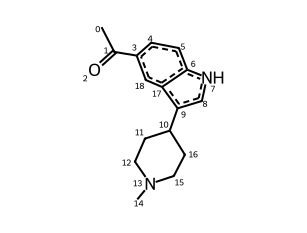 CC(=O)c1ccc2[nH]cc(C3CCN(C)CC3)c2c1